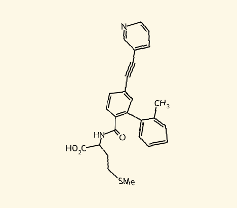 CSCCC(NC(=O)c1ccc(C#Cc2cccnc2)cc1-c1ccccc1C)C(=O)O